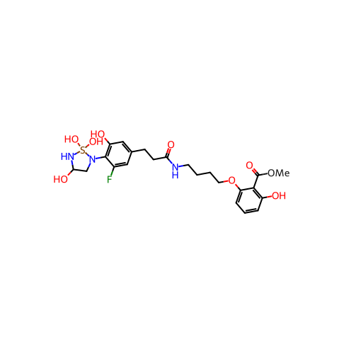 COC(=O)c1c(O)cccc1OCCCCNC(=O)CCc1cc(O)c(N2CC(O)NS2(O)O)c(F)c1